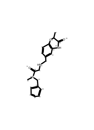 CC1Oc2ccc(CNCC(=O)N(C)Cc3ccccc3)cc2NC1=O